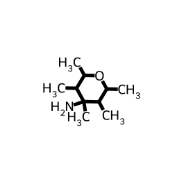 CC1OC(C)C(C)C(C)(N)C1C